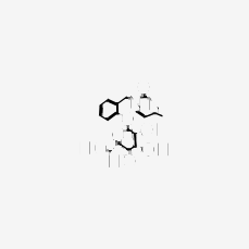 Cc1ccn(Cc2ccccc2O[C@@H]2O[C@H](CO)[C@@H](O)[C@H](O)[C@H]2O)c(=O)n1